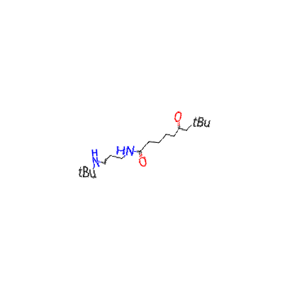 CC(C)(C)CC(=O)CCCCC(=O)NCCCNC(C)(C)C